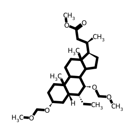 CC[C@H]1[C@@H](OCOC)C2C3CC[C@H]([C@H](C)CC(=O)OC)C3(C)CCC2C2(C)CC[C@@H](OCOC)C[C@@H]12